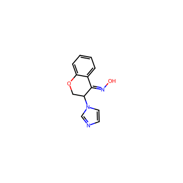 O/N=C1\c2ccccc2OCC1n1ccnc1